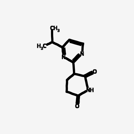 CC(C)c1ccnc(C2CCC(=O)NC2=O)n1